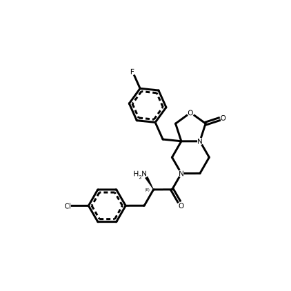 N[C@H](Cc1ccc(Cl)cc1)C(=O)N1CCN2C(=O)OCC2(Cc2ccc(F)cc2)C1